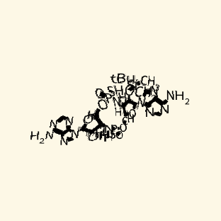 CC(C)(C)[Si](C)(C)O[C@@H]1[C@@H]2NP(=O)(S)OC[C@H]3O[C@@H](n4cnc5c(N)ncnc54)[C@H](O)[C@@H]3NP(=O)(S)OC[C@H]2O[C@H]1n1cnc2c(N)ncnc21